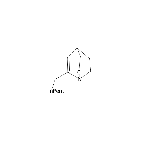 CCCCCCC1=CC2CCN1CC2